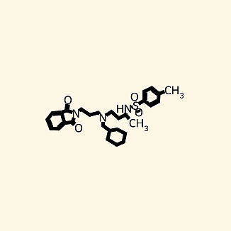 Cc1ccc(S(=O)(=O)NC(C)CCN(CCCN2C(=O)c3ccccc3C2=O)CC2CCCCC2)cc1